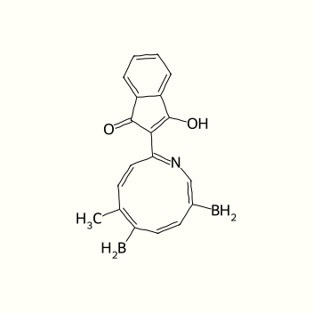 Bc1ccc(B)c(C)ccc(C2=C(O)c3ccccc3C2=O)nc1